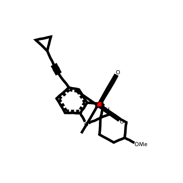 COC1CCC2(CC1)Oc1ccc(C#CC3CC3)cc1C21NC(=O)NC1=O